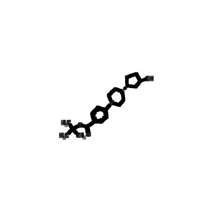 CC(C)(C)OC(=O)c1ccc(N2CCN([C@@H]3CC[C@@H](O)C3)CC2)cc1